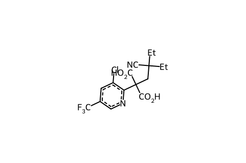 CCC(C#N)(CC)CC(C(=O)O)(C(=O)O)c1ncc(C(F)(F)F)cc1Cl